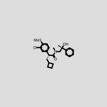 CSc1ccc([C@@H](CC2CCC2)C(=O)N(C)C[C@](C)(O)c2ccccc2)cc1Cl